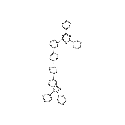 c1ccc(-c2nc(-c3ccccc3)nc(-c3cccc(-c4ccc(-c5ccc(-c6ccc7c(c6)nc(-c6ccccn6)n7-c6ccccc6)cc5)cc4)c3)n2)cc1